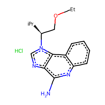 CCOC[C@H](C(C)C)n1cnc2c(N)nc3ccccc3c21.Cl